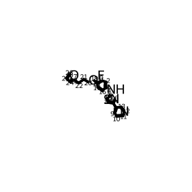 Fc1cc(Nc2nc(-c3cccnc3)cs2)ccc1OCCCc1ccco1